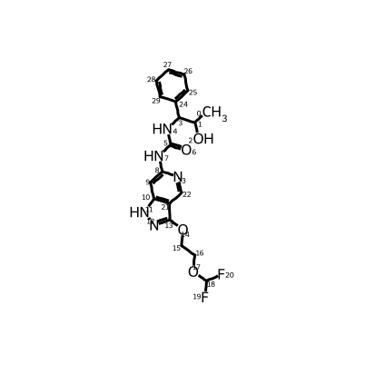 CC(O)C(NC(=O)Nc1cc2[nH]nc(OCCOC(F)F)c2cn1)c1ccccc1